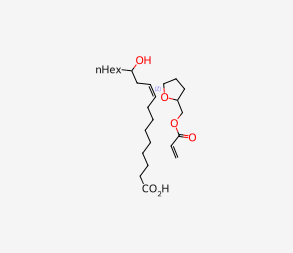 C=CC(=O)OCC1CCCO1.CCCCCCC(O)C/C=C\CCCCCCCC(=O)O